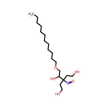 CCCCCCCCCCCCOCC(O)C(CCO)(CCO)N=O